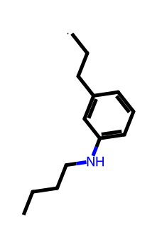 [CH2]CCc1cccc(NCCCC)c1